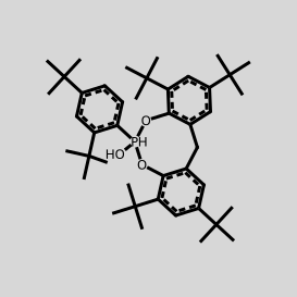 CC(C)(C)c1ccc([PH]2(O)Oc3c(cc(C(C)(C)C)cc3C(C)(C)C)Cc3cc(C(C)(C)C)cc(C(C)(C)C)c3O2)c(C(C)(C)C)c1